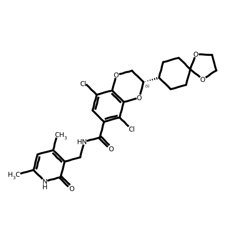 Cc1cc(C)c(CNC(=O)c2cc(Cl)c3c(c2Cl)O[C@@H](C2CCC4(CC2)OCCO4)CO3)c(=O)[nH]1